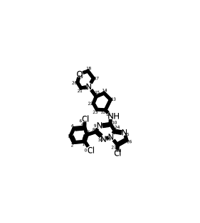 Clc1cccc(Cl)c1-c1nc(NC2CCC(N3CCOCC3)CC2)c2ncc(Cl)n2n1